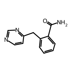 NC(=O)c1ccccc1Cc1ccncn1